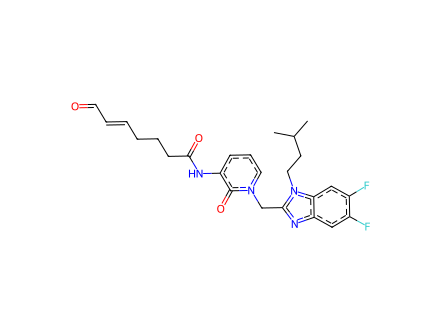 CC(C)CCn1c(Cn2cccc(NC(=O)CCC/C=C/C=O)c2=O)nc2cc(F)c(F)cc21